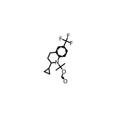 CC(C)(OC=O)N1c2ccc(C(F)(F)F)cc2CCC1C1CC1